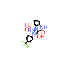 O.O=C1Nc2ccccc2N2NN(c3ccc(C(F)(F)F)cc3)C(O)=C12